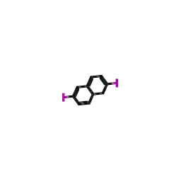 IC1=CC2=CC=C(I)CC2C=C1